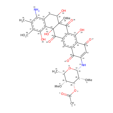 CO[C@@H]1[C@H](OC(=O)C(F)(F)F)[C@H](OC)[C@H](C)O[C@@H]1NC1=CC(=O)c2c(cc3c(c2O)C(=O)C2(OC)C(O)Cc4c(N)c(C)c(C(=O)O)c(O)c4C2(O)C3=O)C1=O